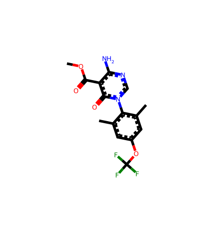 COC(=O)c1c(N)ncn(-c2c(C)cc(OC(F)(F)F)cc2C)c1=O